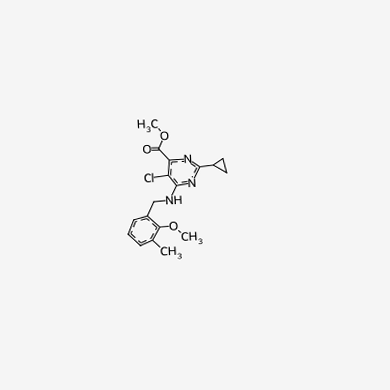 COC(=O)c1nc(C2CC2)nc(NCc2cccc(C)c2OC)c1Cl